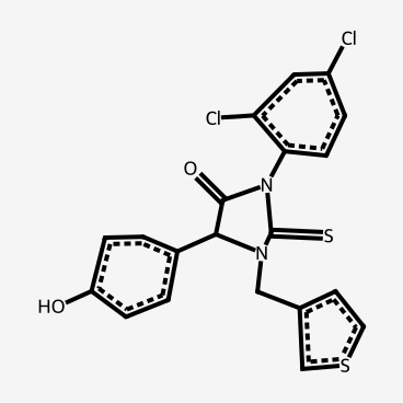 O=C1C(c2ccc(O)cc2)N(Cc2ccsc2)C(=S)N1c1ccc(Cl)cc1Cl